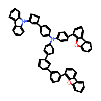 c1cc(-c2ccc(N(c3ccc(-c4cccc(-n5c6ccccc6c6ccccc65)c4)cc3)c3ccc(-c4cccc5c4oc4ccccc45)cc3)cc2)cc(-c2cccc(-c3cccc4c3oc3ccccc34)c2)c1